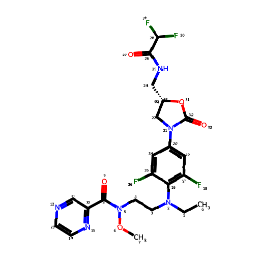 CCN(CCN(OC)C(=O)c1cnccn1)c1c(F)cc(N2C[C@H](CNC(=O)C(F)F)OC2=O)cc1F